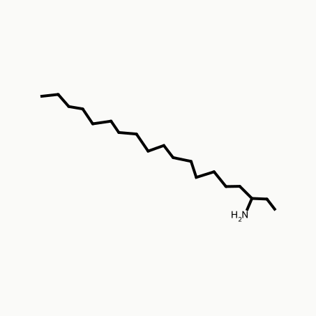 CCCCCCCCCCCCCCCCC(N)CC